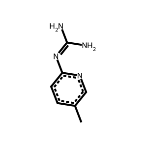 Cc1ccc(N=C(N)N)nc1